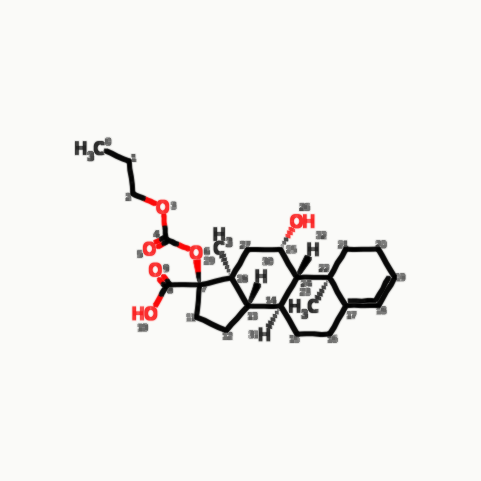 CCCOC(=O)O[C@]1(C(=O)O)CC[C@H]2[C@@H]3CCC4=C=CCC[C@]4(C)[C@H]3[C@@H](O)C[C@@]21C